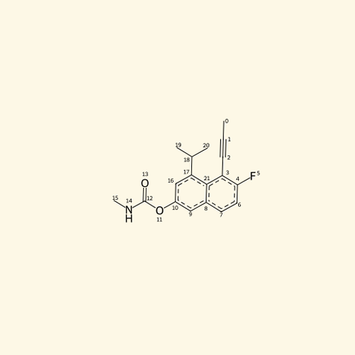 CC#Cc1c(F)ccc2cc(OC(=O)NC)cc(C(C)C)c12